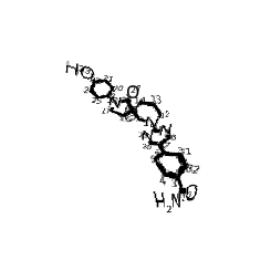 NC(=O)c1ccc(-c2cnc(N3CCC[C@]4(CCN([C@H]5CC[C@@H](O)CC5)C4=O)C3)nc2)cc1